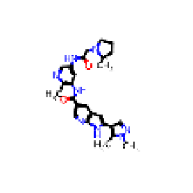 Cc1ncc(NC(=O)CN2CCC[C@@H]2C)cc1NC(=O)c1cnc2[nH]c(-c3cnn(C)c3C)cc2c1